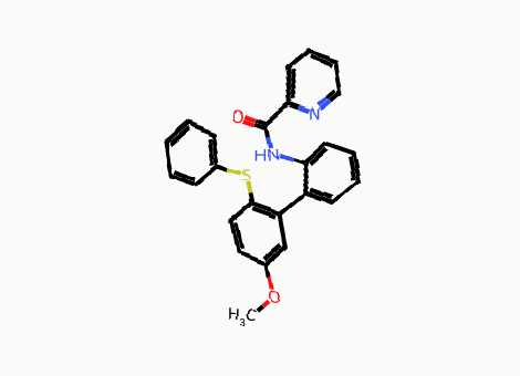 COc1ccc(Sc2ccccc2)c(-c2ccccc2NC(=O)c2ccccn2)c1